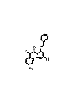 CN(C(=O)c1ccc([N+](=O)[O-])cc1)c1ccc(Cl)cc1OCc1ccccc1